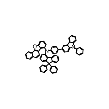 c1ccc(-n2c3ccccc3c3cc(-c4ccc(N(c5cccc6c5-c5ccccc5C6(c5ccccc5)c5ccccc5)c5cccc6oc7c8ccccc8ccc7c56)cc4)ccc32)cc1